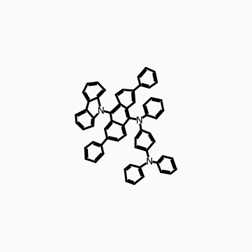 c1ccc(-c2ccc3c(-n4c5ccccc5c5ccccc54)c4cc(-c5ccccc5)ccc4c(N(c4ccccc4)c4ccc(N(c5ccccc5)c5ccccc5)cc4)c3c2)cc1